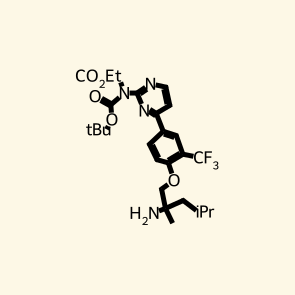 CCOC(=O)N(C(=O)OC(C)(C)C)c1nccc(-c2ccc(OCC(C)(N)CC(C)C)c(C(F)(F)F)c2)n1